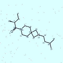 CC[C@H](C)C(=O)N1CCC2(CC1)CN(CCC(C)C)C2